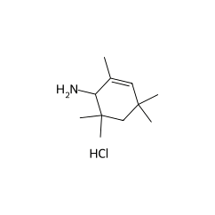 CC1=CC(C)(C)CC(C)(C)C1N.Cl